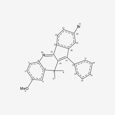 COc1ccc2c(c1)C(C)(C)C1=C(c3ccccc3)c3cc(Br)ccc3C1=N2